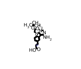 CC(C)(C)OC(=O)Cn1c2ccc(/C=C/C(=O)O)cc2c2c(N)ncnc21